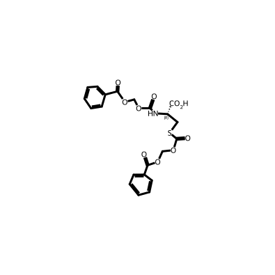 O=C(N[C@@H](CSC(=O)OCOC(=O)c1ccccc1)C(=O)O)OCOC(=O)c1ccccc1